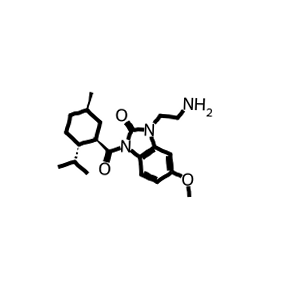 COc1ccc2c(c1)n(CCN)c(=O)n2C(=O)[C@@H]1C[C@H](C)CC[C@H]1C(C)C